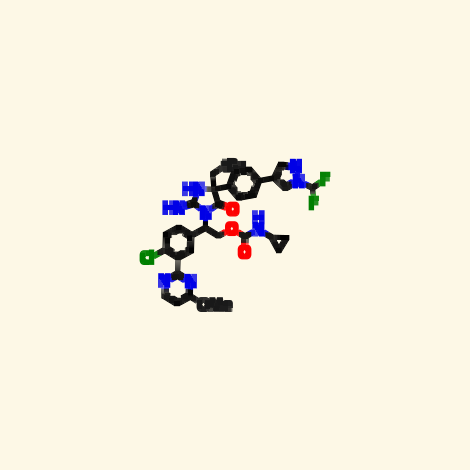 COc1ccnc(-c2cc(C(COC(=O)NC3CC3)N3C(=N)NC(CC(C)(C)C)(c4ccc(-c5cnn(C(F)F)c5)cc4)C3=O)ccc2Cl)n1